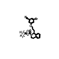 CC(C)(C)OC(=O)N1CCc2ccccc2C1CCCOc1cc(Br)cc(C#N)c1